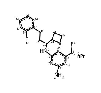 CCC[C@@H](F)c1nc(N)nc(N[C@@H](CCc2ccccc2F)C2CCC2)n1